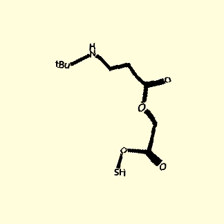 CC(C)(C)NCCC(=O)OCC(=O)OS